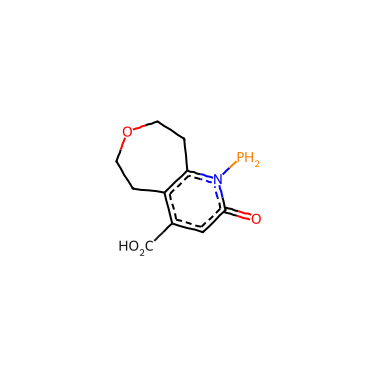 O=C(O)c1cc(=O)n(P)c2c1CCOCC2